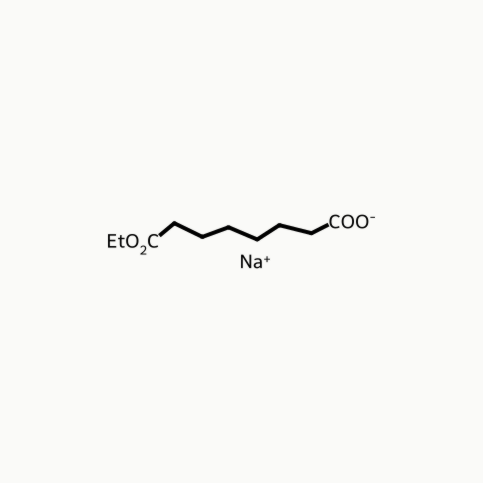 CCOC(=O)CCCCCCC(=O)[O-].[Na+]